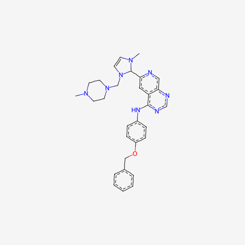 CN1CCN(CN2C=CN(C)C2c2cc3c(Nc4ccc(OCc5ccccc5)cc4)ncnc3cn2)CC1